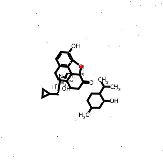 CC1CCC(C(C)C)C(O)C1.O=C1CC[C@@]2(O)[C@H]3Cc4ccc(O)c5c4[C@@]2(CCN3CC2CC2)[C@H]1O5